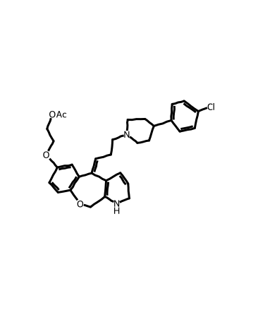 CC(=O)OCCOc1ccc2c(c1)C(=CCCN1CCC(c3ccc(Cl)cc3)CC1)C1=C(CO2)NCC=C1